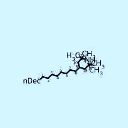 CCCCCCCCCCCCCCCCCCC1CC(C)(C)NC(C)(C)C1